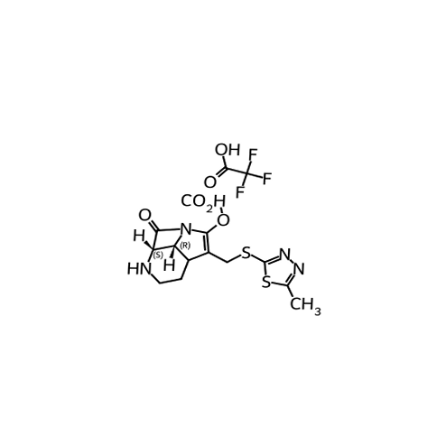 Cc1nnc(SCC2=C(OC(=O)O)N3C(=O)[C@H]4NCCC2[C@H]43)s1.O=C(O)C(F)(F)F